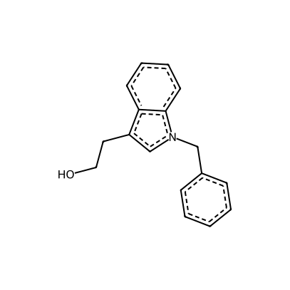 OCCc1cn(Cc2ccccc2)c2ccccc12